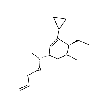 C=CCON(C)[C@@H]1C=C(C2CC2)[C@@H](CC)N(C)C1